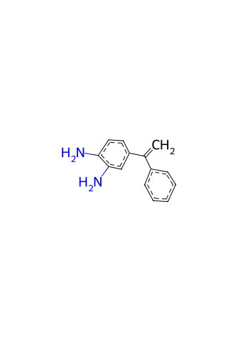 C=C(c1ccccc1)c1ccc(N)c(N)c1